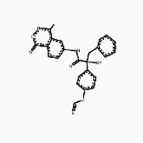 Cc1noc(=O)c2ccc(NC(=O)C(O)(Cc3ccccc3)c3ccc(OC=S)cc3)cc12